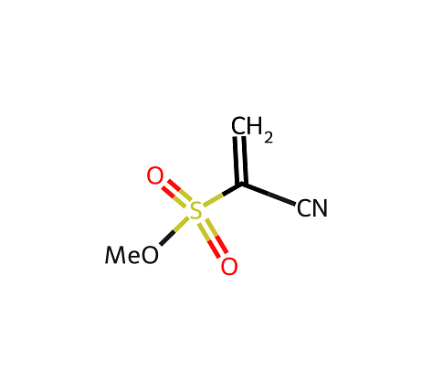 C=C(C#N)S(=O)(=O)OC